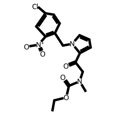 CCOC(=O)N(C)CC(=O)c1cccn1Cc1ccc(Cl)cc1[N+](=O)[O-]